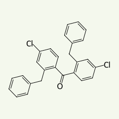 O=C(c1ccc(Cl)cc1Cc1ccccc1)c1ccc(Cl)cc1Cc1ccccc1